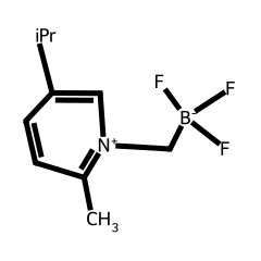 Cc1ccc(C(C)C)c[n+]1C[B-](F)(F)F